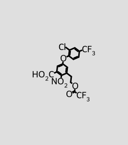 O=C(O)c1cc(Oc2ccc(C(F)(F)F)cc2Cl)cc(CCOC(=O)C(F)(F)F)c1[N+](=O)[O-]